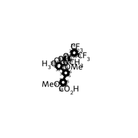 COc1cc(-c2ccc(OC)c(C3=C(CN4C(=O)O[C@H](c5cc(C(F)(F)F)cc(C(F)(F)F)c5)[C@@H]4C)CC(C)(C)CC3)c2)ccc1C(=O)O